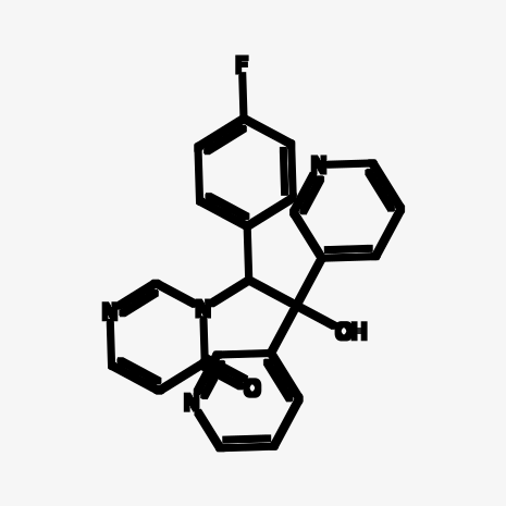 O=c1ccncn1C(c1ccc(F)cc1)C(O)(c1cccnc1)c1cccnc1